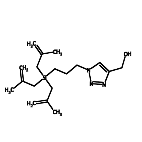 C=C(C)C[Si](CCCn1cc(CO)nn1)(CC(=C)C)CC(=C)C